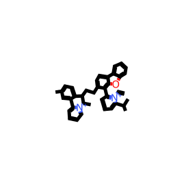 C=C[n+]1c(-c2c(CCC3c4ccc(C)cc4-c4cccc[n+]4C3C)ccc3c2oc2ccccc23)cccc1C(C)C